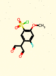 COc1cc(F)c(C(C=O)C=O)cc1S(=O)(=O)Cl